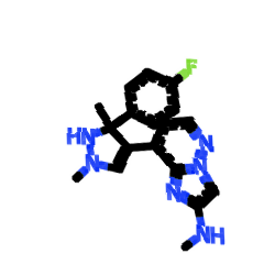 CNc1cn2nccc(C3=CN(C)NC3(C)c3ccc(F)cc3)c2n1